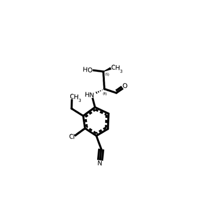 CCc1c(N[C@@H](C=O)[C@H](C)O)ccc(C#N)c1Cl